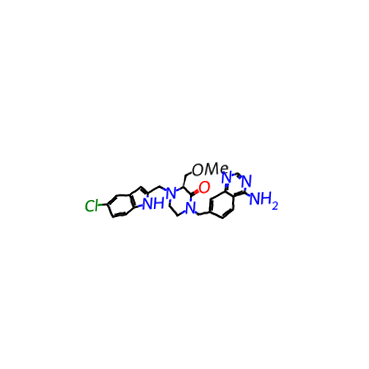 COC[C@H]1C(=O)N(Cc2ccc3c(N)ncnc3c2)CCN1Cc1cc2cc(Cl)ccc2[nH]1